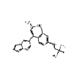 C[C@@H]1C=C(c2cnc3nccn3c2)c2cnc(NCC(C)(C)F)nc2CN1